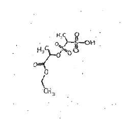 CCOC(=O)C(C)OS(=O)(=O)C(C)S(=O)(=O)O